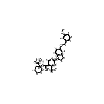 COc1cccc(COc2ccc3c(c2)CCN3c2ncc(C(=O)NC3(C(=O)O)CCCCC3)c(C(F)(F)F)n2)c1